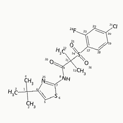 CC(C)(C)c1csc(NC(=O)C(C)(C)S(=O)(=O)c2ccc(Cl)cc2F)n1